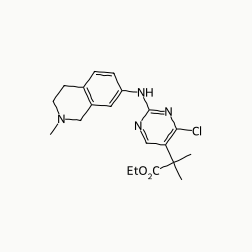 CCOC(=O)C(C)(C)c1cnc(Nc2ccc3c(c2)CN(C)CC3)nc1Cl